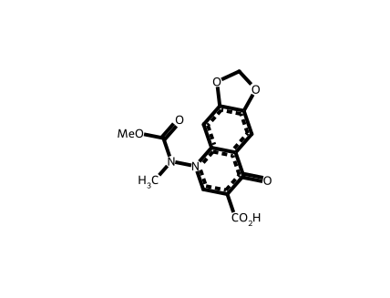 COC(=O)N(C)n1cc(C(=O)O)c(=O)c2cc3c(cc21)OCO3